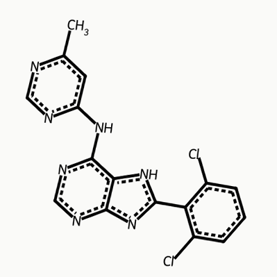 Cc1cc(Nc2ncnc3nc(-c4c(Cl)cccc4Cl)[nH]c23)ncn1